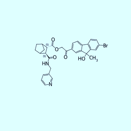 CC1(O)c2cc(Br)ccc2-c2ccc(C(=O)COC(=O)[C@H]3C4CCC(C4)[C@@H]3C(=O)NCc3cccnc3)cc21